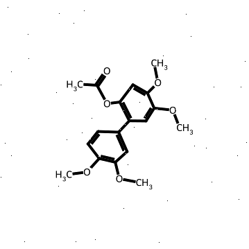 COc1ccc(-c2cc(OC)c(OC)cc2OC(C)=O)cc1OC